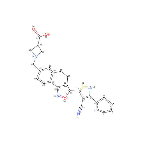 N#Cc1c(-c2ccccc2)nsc1-c1onc2c1CCc1cc(CN3CC(C(=O)O)C3)ccc1-2